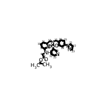 CC(C)OC(=O)CNc1cccc(CN(Cc2ccc(-n3cccn3)cc2)S(=O)(=O)c2cccnc2)n1